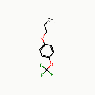 CCCOc1ccc(OC(F)(F)F)cc1